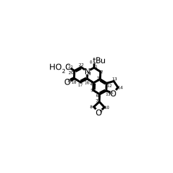 CC(C)(C)C1Cc2c(cc(C3COC3)c3c2CCO3)-c2cc(=O)c(C(=O)O)cn21